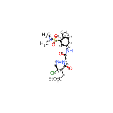 CCOC(=O)Cc1c(Cl)cnn(CC(=O)Nc2ccc(C)c(S(=O)(=O)N(C)C)c2)c1=O